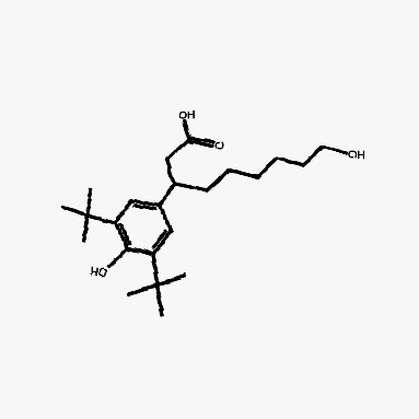 CC(C)(C)c1cc(C(CCCCCCO)CC(=O)O)cc(C(C)(C)C)c1O